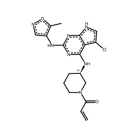 C=CC(=O)N1CCC[C@@H](Nc2nc(Nc3cnoc3C)nc3[nH]cc(Cl)c23)C1